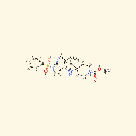 CC1(Nc2c([N+](=O)[O-])cnc3c2ccn3S(=O)(=O)c2ccccc2)CCN(C(=O)OC(C)(C)C)CC1